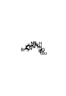 CC(C)(C)OC(=O)NCCn1nnc(-c2ccc(Br)cn2)n1